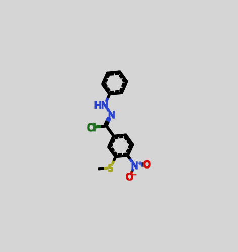 CSc1cc(C(Cl)=NNc2ccccc2)ccc1[N+](=O)[O-]